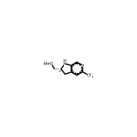 COC[C@H]1Cc2cc(C(F)(F)F)ncc2N1